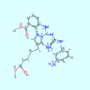 C=C(/N=C(/Nc1cccc(C(=O)OC)c1)n1ncc(CCCCC(=O)OC)c1N)Nc1cccc(N)c1